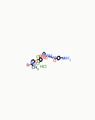 Cc1nc2c(OCc3c(Cl)ccc(S(=O)(=O)N4CCC[C@H]4C(=O)NCCCNC(=O)c4ccc(C=NN)cc4)c3Cl)cccn2c1Br.Cl